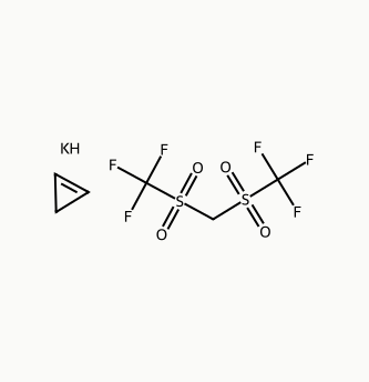 C1=CC1.O=S(=O)(CS(=O)(=O)C(F)(F)F)C(F)(F)F.[KH]